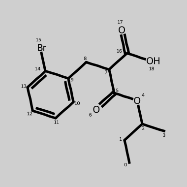 CCC(C)OC(=O)C(Cc1ccccc1Br)C(=O)O